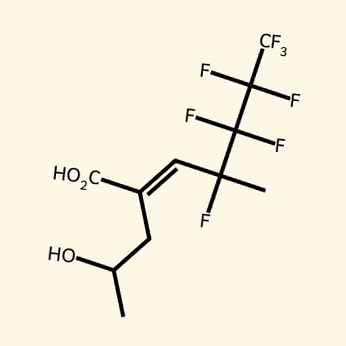 CC(O)CC(=CC(C)(F)C(F)(F)C(F)(F)C(F)(F)F)C(=O)O